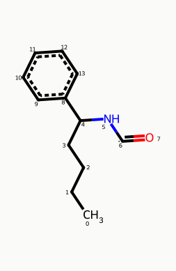 CCCCC(N[C]=O)c1ccccc1